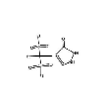 CCC(C)(S(=O)(=O)CC)S(=O)(=O)CC.O=c1cc[nH][nH]1